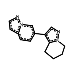 c1cc2ccc(-c3cnn4c3CCCC4)cn2n1